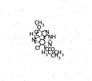 CCOC(=O)c1cnc(NC2CN(C(=O)OC(C)(C)C)C2)c(F)c1C(C)(C#N)c1ccc(F)c(Cl)c1F